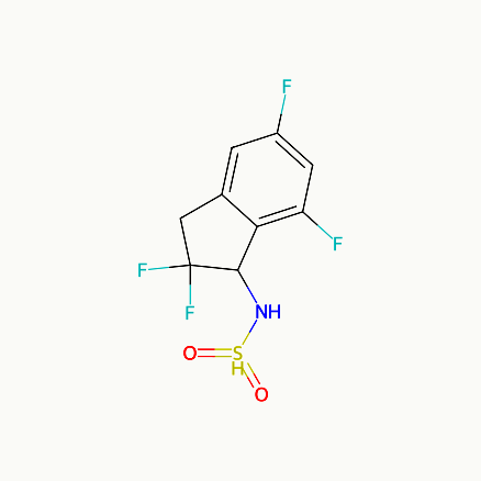 O=[SH](=O)NC1c2c(F)cc(F)cc2CC1(F)F